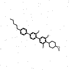 CCCCCc1ccc(-c2ccc(-c3cc(F)c(C4CCC(OC)CC4)c(F)c3)c(F)c2)cc1